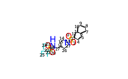 O=S(=O)(c1ccc2ccccc2c1)N1CCC(CNS(=O)(=O)C(F)(F)F)CC1